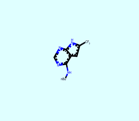 CCCCNc1ncnc2[nH]c(C(F)(F)F)cc12